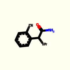 CCCC(C(N)=O)c1ccccc1C#N